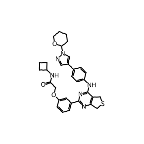 O=C(COc1cccc(-c2nc3c(c(Nc4ccc(-c5cnn(C6CCCCO6)c5)cc4)n2)CSC3)c1)NC1CCC1